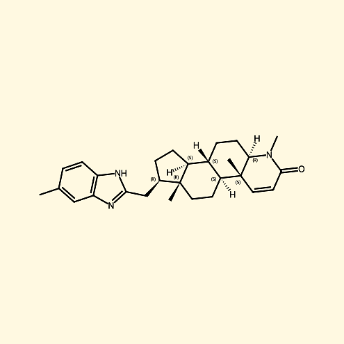 Cc1ccc2[nH]c(C[C@H]3CC[C@H]4[C@@H]5CC[C@H]6N(C)C(=O)C=C[C@]6(C)[C@H]5CC[C@]34C)nc2c1